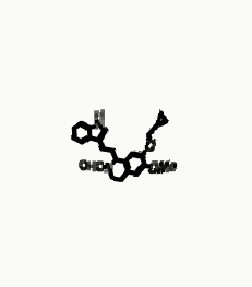 COc1cc2c(cc1OCC1CC1)C(CCc1c[nH]c3ccccc13)N(C=O)CC2